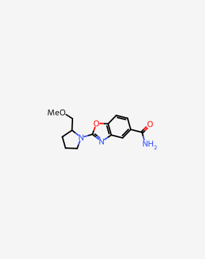 COCC1CCCN1c1nc2cc(C(N)=O)ccc2o1